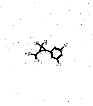 C=C(C)C1C(c2cc(Cl)cc(Br)c2)C1(Cl)Cl